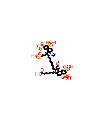 CC[N+]1=C(/C=C/C=C/C=C/C=C2/N(CCCCCC(=O)O)c3ccc4c(S(=O)(=O)O)cc(S(=O)(=O)O)cc4c3C2(C)CCOC)C(C)(CCCS(=O)(=O)O)c2c1ccc1c(S(=O)(=O)O)cc(S(=O)(=O)O)cc21